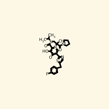 CC(C)N1CC(C)(C(=O)N2CCCC2)n2cc(-c3ncc(Cc4ccc(F)cc4)s3)c(=O)c(O)c2C1=O